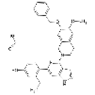 CCc1cc(O)ccc1-c1cc2[nH]ncc2c(N2CCc3cc(OC)c(OCc4ccccc4)cc3C2)n1.O=CO